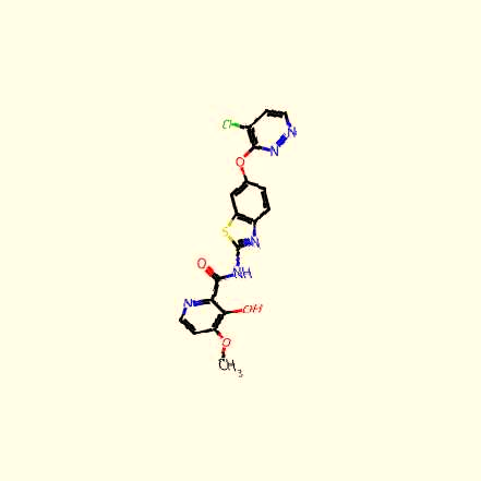 COc1ccnc(C(=O)Nc2nc3ccc(Oc4nnccc4Cl)cc3s2)c1O